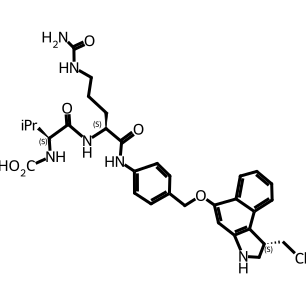 CC(C)[C@H](NC(=O)O)C(=O)N[C@@H](CCCNC(N)=O)C(=O)Nc1ccc(COc2cc3c(c4ccccc24)[C@H](CCl)CN3)cc1